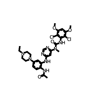 CCN1CCN(c2ccc(NC(C)=O)c(Nc3cc(N(C)C(=O)Nc4c(Cl)c(OC)cc(OC)c4Cl)ncn3)c2)CC1